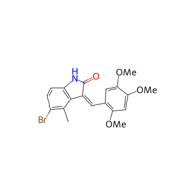 COc1cc(OC)c(OC)cc1C=C1C(=O)Nc2ccc(Br)c(C)c21